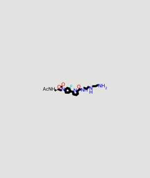 CC(=O)NC[C@H]1CN(c2ccc(-c3cccc(C(=O)NCCCNCCCN)n3)c(F)c2)C(=O)O1